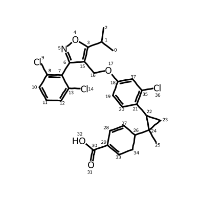 CC(C)c1onc(-c2c(Cl)cccc2Cl)c1COc1ccc(C2CC2(C)C2C=CC(C(=O)O)=CC2)c(Cl)c1